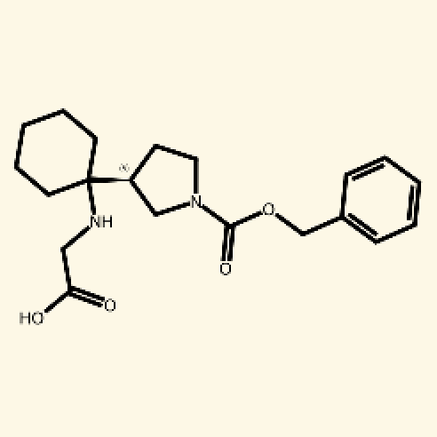 O=C(O)CNC1([C@H]2CCN(C(=O)OCc3ccccc3)C2)CCCCC1